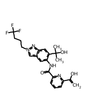 C=C(O)c1cccc(C(=O)Nc2cc3cn(CCCC(F)(F)F)nc3cc2C(C)(C)O)n1